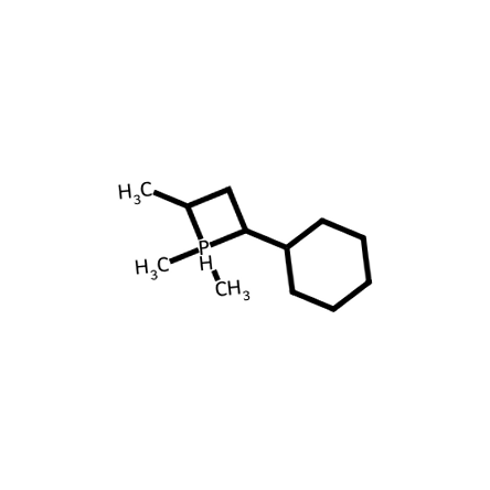 CC1CC(C2CCCCC2)[PH]1(C)C